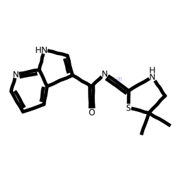 CC1(C)CN/C(=N/C(=O)c2c[nH]c3ncccc23)S1